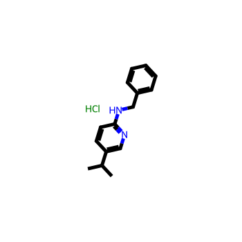 CC(C)c1ccc(NCc2ccccc2)nc1.Cl